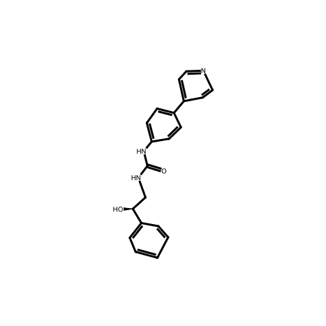 O=C(NC[C@H](O)c1ccccc1)Nc1ccc(-c2ccncc2)cc1